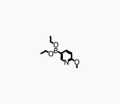 CCOB(OCC)c1ccc(OC)nc1